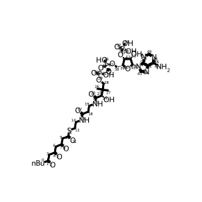 CCCCC(=O)CC(=O)CC(=O)CC(=O)SCCNC(=O)CCNC(=O)[C@H](O)C(C)(C)COP(=O)(O)OP(=O)(O)OC[C@H]1O[C@@H](n2cnc3c(N)ncnc32)[C@H](O)[C@@H]1OP(=O)(O)O